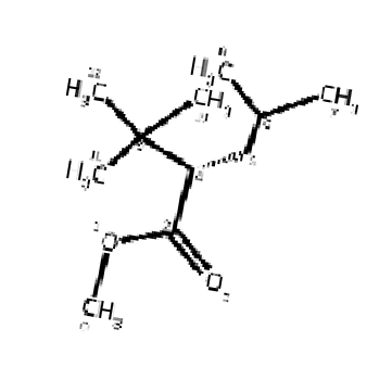 COC(=O)[C@@H](CC(C)C)C(C)(C)C